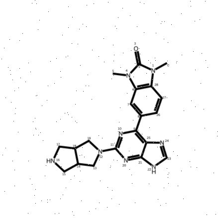 Cn1c(=O)n(C)c2cc(-c3nc(N4CC5CNCC5C4)nc4[nH]cnc34)ccc21